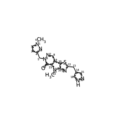 Cn1ccc(Cn2ncc3c4sc(Cc5cn[nH]c5)nc4n(C)c3c2=O)n1